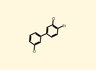 C[CH]c1ccc(-c2cccc(Cl)c2)cc1Cl